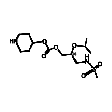 CC(C)O[C@@H](CNS(C)(=O)=O)COC(=O)OC1CCNCC1